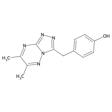 Cc1nc2nnc(Cc3ccc(O)cc3)n2nc1C